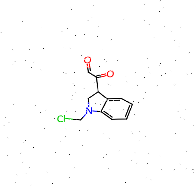 O=CC(=O)C1CN(CCl)c2ccccc21